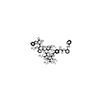 CC[C@H](C)[C@@H]([C@@H](CC(=O)N1CCCC1[C@H](OC)[C@@H](C)C(=O)N[C@@H](Cc1ccccc1)C(=O)O)OC)N(C)C(=O)C(NC(=O)C(C(C)C)N(C)C(=O)OCc1ccc(NC(=O)O[C@H]2CCCC[C@@H]2SSc2ccccn2)cc1)C(C)C